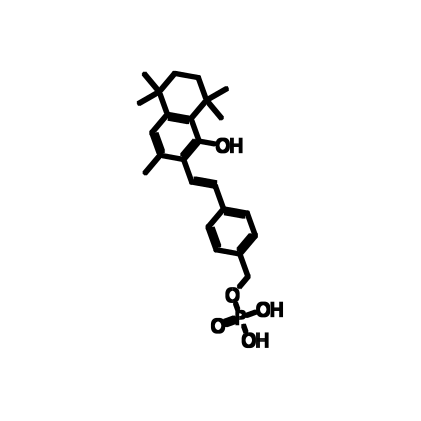 Cc1cc2c(c(O)c1C=Cc1ccc(COP(=O)(O)O)cc1)C(C)(C)CCC2(C)C